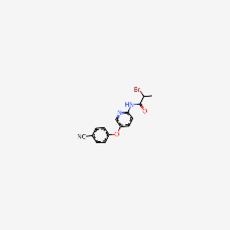 CC(Br)C(=O)Nc1ccc(Oc2ccc(C#N)cc2)cn1